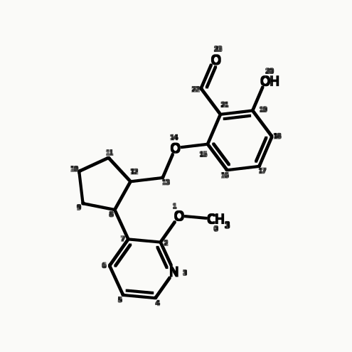 COc1ncccc1C1CCCC1COc1cccc(O)c1C=O